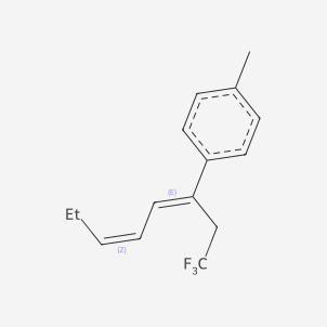 CC/C=C\C=C(/CC(F)(F)F)c1ccc(C)cc1